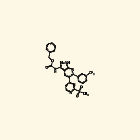 CS(=O)(=O)c1nccc(-c2cc3c(NC(=O)OCc4ccccc4)n[nH]c3nc2-c2cccc(C(F)(F)F)c2)n1